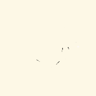 CN(C)c1ccc2c(c1)C[C@]13C=CC(=O)C=C1CC[C@@H]1C3C2C[C@@]2(C)[C@H]1CC[C@]2(/C=C\CO[Si](C)(C)C)O[Si](C)(C)C